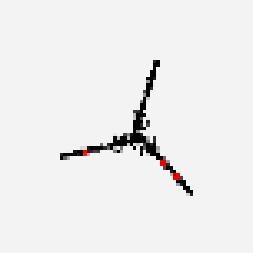 CCCCCCCCCCCCCCCCCCOC(=O)CSCc1cc(CSCC(=O)OCCCCCCCCCCCCCCCCCC)c(O)c(CSCC(=O)OCCCCCCCCCCCCCCCCCC)c1